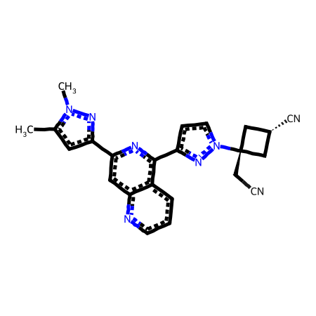 Cc1cc(-c2cc3ncccc3c(-c3ccn([C@]4(CC#N)C[C@H](C#N)C4)n3)n2)nn1C